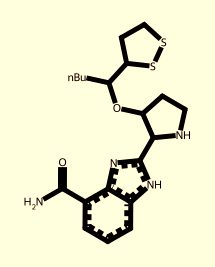 CCCCC(OC1CCNC1c1nc2c(C(N)=O)cccc2[nH]1)C1CCSS1